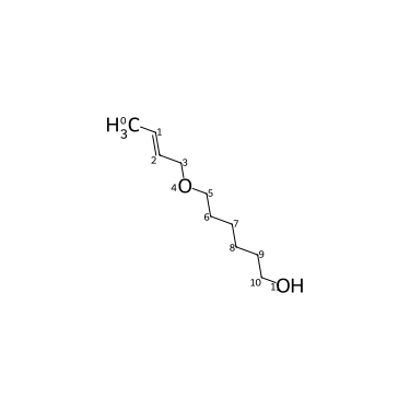 CC=CCOCCCCCCO